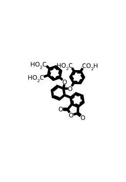 O=C(O)c1ccc(OC2(Oc3ccc(C(=O)O)c(C(=O)O)c3)C=CC=CC2c2cccc3c2C(=O)OC3=O)cc1C(=O)O